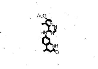 CC(=O)Oc1cn2ncnc(Nc3ccc4c(C)cc(=O)[nH]c4c3)c2c1C